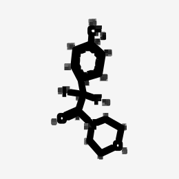 O=C(N1CCOCC1)C(F)(F)c1ccc(C(F)(F)F)cc1